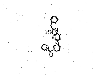 O=C([C@@H]1CCCN(c2ccc3nc(Cc4ccccc4)[nH]c3n2)C1)N1CCCC1